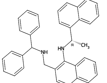 C[C@H](Nc1c(CNC(c2ccccc2)c2ccccc2)ccc2ccccc12)c1cccc2ccccc12